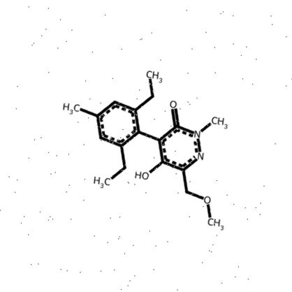 CCc1cc(C)cc(CC)c1-c1c(O)c(COC)nn(C)c1=O